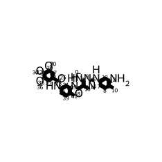 CNc1nc(Nc2ccc(C)c(N)c2)ncc1C(=O)Nc1cc(NC(=O)c2cc(OC)c(OC)c(OC)c2)ccc1C